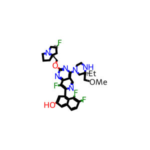 CC[C@]1(COC)CN(c2nc(OC[C@@]34CCCN3C[C@H](F)C4)nc3c(F)c(-c4cc(O)cc5ccc(F)c(F)c45)ncc23)CCN1